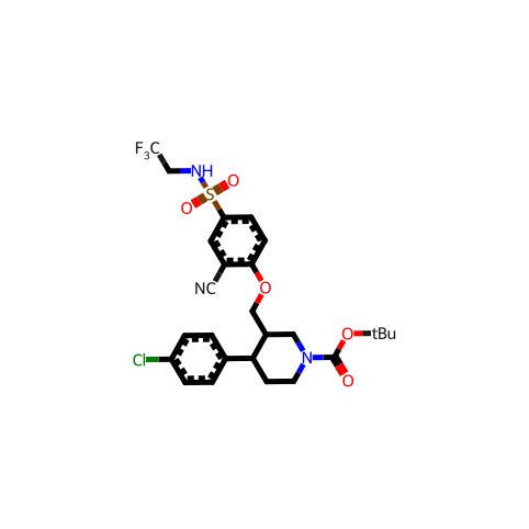 CC(C)(C)OC(=O)N1CCC(c2ccc(Cl)cc2)C(COc2ccc(S(=O)(=O)NCC(F)(F)F)cc2C#N)C1